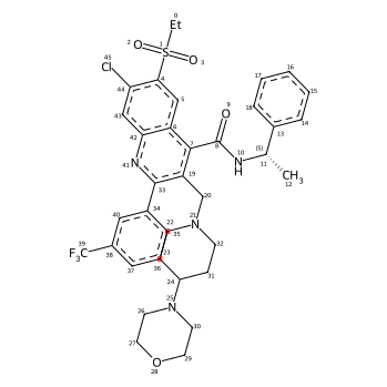 CCS(=O)(=O)c1cc2c(C(=O)N[C@@H](C)c3ccccc3)c(CN3CCC(N4CCOCC4)CC3)c(-c3cccc(C(F)(F)F)c3)nc2cc1Cl